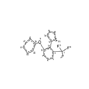 FC(F)(F)c1cccc(Oc2ccccc2)c1-c1cccs1